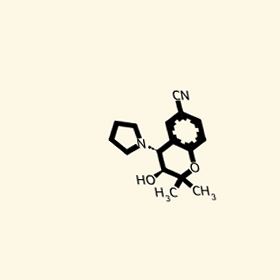 CC1(C)Oc2ccc(C#N)cc2[C@@H](N2CCCC2)[C@@H]1O